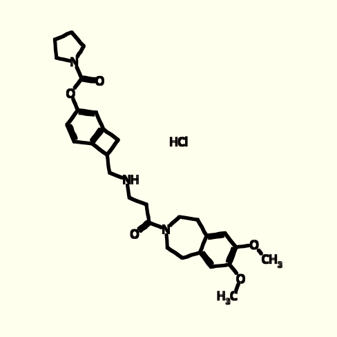 COc1cc2c(cc1OC)CCN(C(=O)CCNCC1Cc3cc(OC(=O)N4CCCC4)ccc31)CC2.Cl